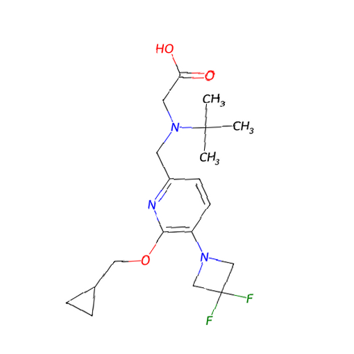 CC(C)(C)N(CC(=O)O)Cc1ccc(N2CC(F)(F)C2)c(OCC2CC2)n1